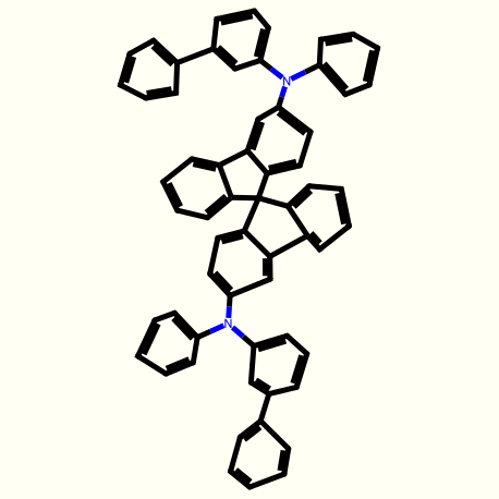 c1ccc(-c2cccc(N(c3ccccc3)c3ccc4c(c3)-c3ccccc3C43c4ccccc4-c4cc(N(c5ccccc5)c5cccc(-c6ccccc6)c5)ccc43)c2)cc1